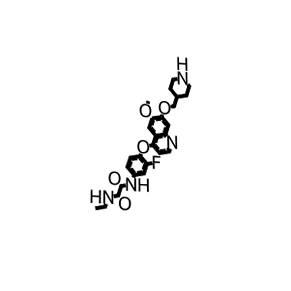 CCNC(=O)C(=O)Nc1ccc(Oc2ccnc3cc(OCC4CCNCC4)c(OC)cc23)c(F)c1